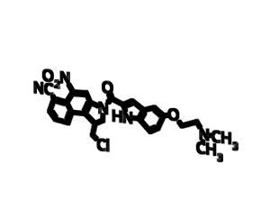 CN(C)CCOc1ccc2[nH]c(C(=O)N3CC(CCl)c4c3cc([N+](=O)[O-])c3c(C#N)cccc43)cc2c1